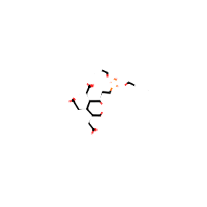 CCOP(=O)(CC[C@H]1O[C@H](O)[C@@H](CC(=O)O)[C@@H](CC(=O)O)[C@H]1CC(=O)O)OCC